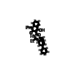 CCC(NC(=O)c1c(O)c2ccccc2n(C(C)C)c1=O)N1C2CC3CC1CC(c1ccccc1)(C3)C2